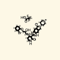 CN1CCC(N2Cc3cc4[nH]c(-c5c(NC[C@@H](O)COc6ccccc6Br)cc[nH]c5=O)nc4cc3C2=O)CC1.O=C(O)C(F)(F)F